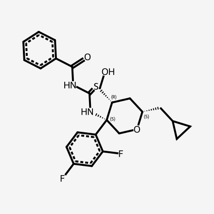 O=C(NC(=S)N[C@@]1(c2ccc(F)cc2F)CO[C@@H](CC2CC2)C[C@H]1CO)c1ccccc1